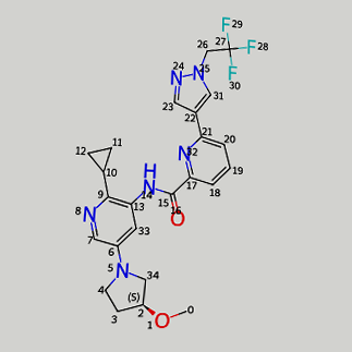 CO[C@H]1CCN(c2cnc(C3CC3)c(NC(=O)c3cccc(-c4cnn(CC(F)(F)F)c4)n3)c2)C1